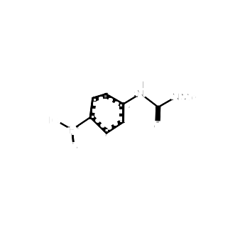 CNC(=O)Nc1ccc(B(O)O)cc1